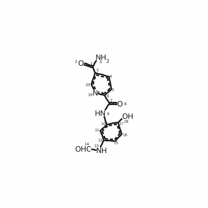 NC(=O)c1ccc(C(=O)Nc2cc(NC=O)ccc2O)nc1